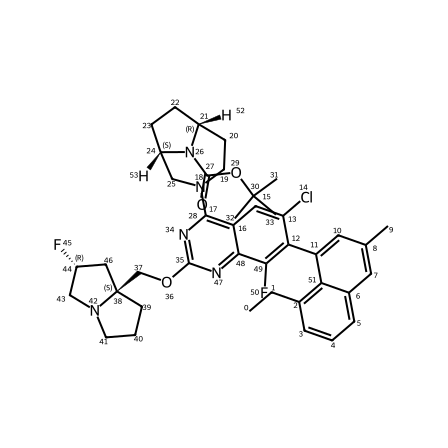 CCc1cccc2cc(C)cc(-c3c(Cl)cc4c(N5CC[C@H]6CC[C@@H](C5)N6C(=O)OC(C)(C)C)nc(OC[C@@]56CCCN5C[C@H](F)C6)nc4c3F)c12